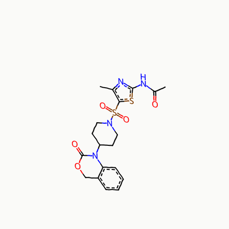 CC(=O)Nc1nc(C)c(S(=O)(=O)N2CCC(N3C(=O)OCc4ccccc43)CC2)s1